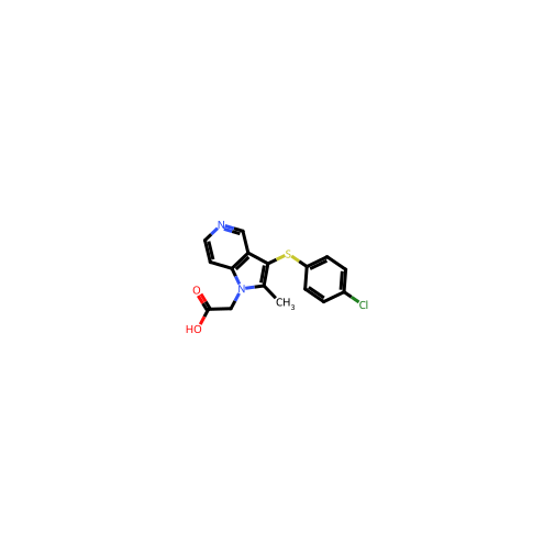 Cc1c(Sc2ccc(Cl)cc2)c2cnccc2n1CC(=O)O